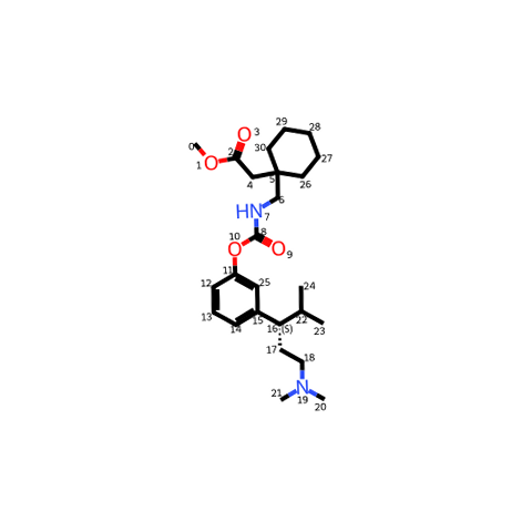 COC(=O)CC1(CNC(=O)Oc2cccc([C@@H](CCN(C)C)C(C)C)c2)CCCCC1